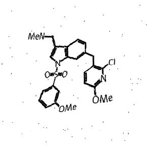 CNCc1cn(S(=O)(=O)c2cccc(OC)c2)c2cc(Cc3ccc(OC)nc3Cl)ccc12